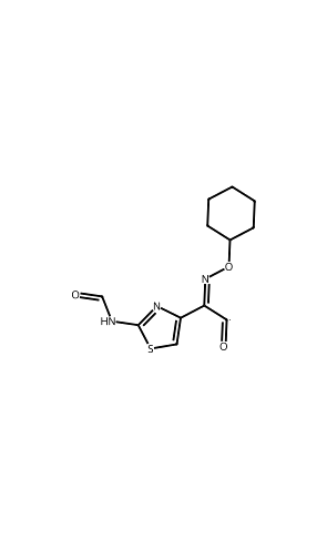 O=[C]/C(=N\OC1CCCCC1)c1csc(NC=O)n1